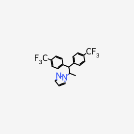 CC(C(c1ccc(C(F)(F)F)cc1)c1ccc(C(F)(F)F)cc1)n1cccn1